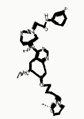 [CH2][C@H]1CCCN1CCCOc1cc2ncnc(Nc3cnn(CC(=O)Nc4cccc(F)c4)c3)c2cc1OC